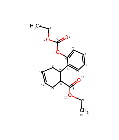 CCOC(=O)Oc1ccccc1C1CC=CCC1C(=O)OCC